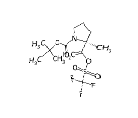 C=C(OS(=O)(=O)C(F)(F)F)[C@]1(C)CCCN1C(=O)OC(C)(C)C